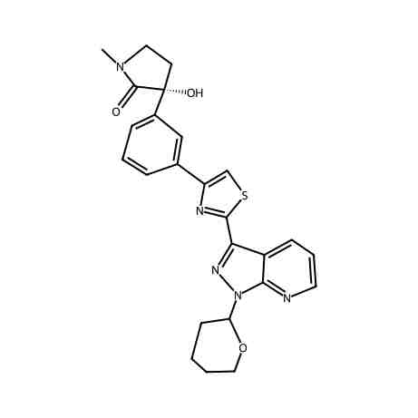 CN1CC[C@@](O)(c2cccc(-c3csc(-c4nn(C5CCCCO5)c5ncccc45)n3)c2)C1=O